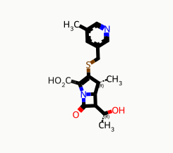 Cc1cncc(CSC2=C(C(=O)O)N3C(=O)C([C@@H](C)O)C3[C@H]2C)c1